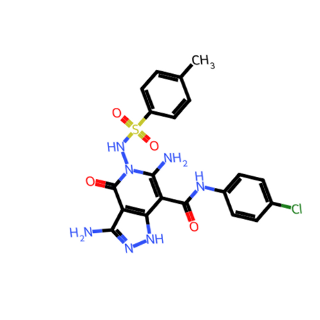 Cc1ccc(S(=O)(=O)Nn2c(N)c(C(=O)Nc3ccc(Cl)cc3)c3[nH]nc(N)c3c2=O)cc1